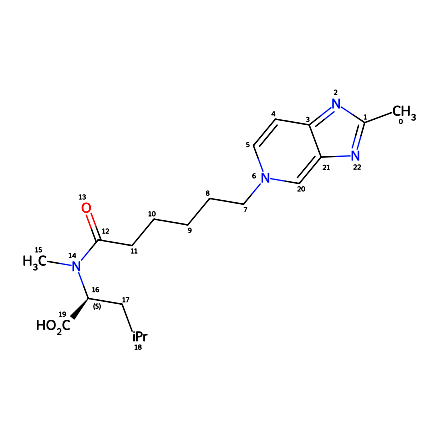 Cc1nc2ccn(CCCCCC(=O)N(C)[C@@H](CC(C)C)C(=O)O)cc-2n1